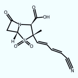 C[C@]1(/C=C/C=C/C#N)[C@H](C(=O)O)N2C(=O)C[C@H]2S1(=O)=O